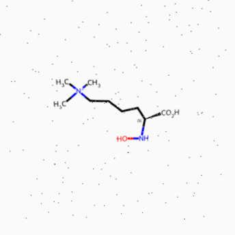 C[N+](C)(C)CCCC[C@H](NO)C(=O)O